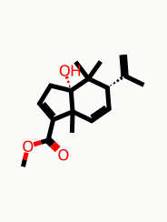 C=C(C)[C@@H]1C=CC2(C)C(C(=O)OC)=CC[C@@]2(O)C1(C)C